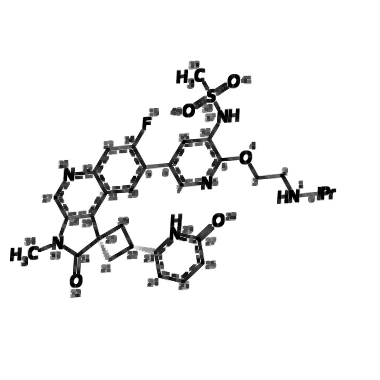 CC(C)NCCOc1ncc(-c2cc3c(cc2F)ncc2c3[C@]3(C[C@@H](c4cccc(=O)[nH]4)C3)C(=O)N2C)cc1NS(C)(=O)=O